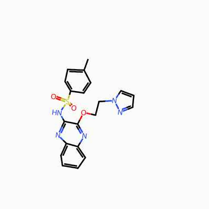 Cc1ccc(S(=O)(=O)Nc2nc3ccccc3nc2OCCn2cccn2)cc1